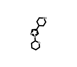 c1nn(C2CCCCO2)cc1C1CCNCC1